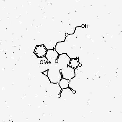 COc1ccccc1N(CCOCCO)C(=O)Cc1noc(CN2C(=O)C(=O)N(CC3CC3)C2=O)n1